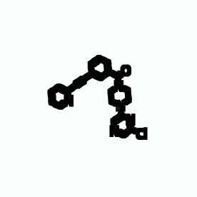 O=C(c1cccc(C#Cc2ccccn2)c1)N1CCN(c2cncc(Cl)n2)CC1